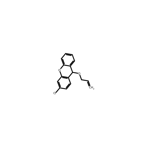 C=CCOC1c2ccccc2Oc2cc(Cl)ccc21